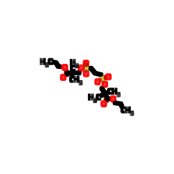 CCCOC(=O)C(C)(C)COS(=O)(=O)CCCS(=O)(=O)OCC(C)(C)C(=O)OCCC